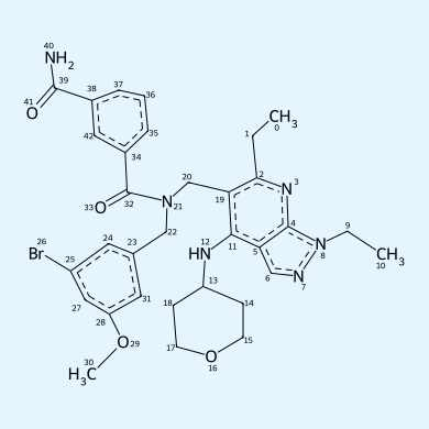 CCc1nc2c(cnn2CC)c(NC2CCOCC2)c1CN(Cc1cc(Br)cc(OC)c1)C(=O)c1cccc(C(N)=O)c1